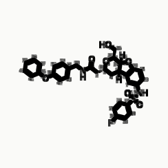 O=C(C[C@H]1C[C@H]2c3cc(NS(=O)(=O)c4ccc(F)cc4)ccc3O[C@H]2[C@H](CO)O1)NCc1ccc(Oc2ccccc2)cc1